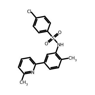 Cc1cccc(-c2ccc(C)c(NS(=O)(=O)c3ccc(Cl)cc3)c2)n1